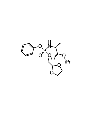 CC(C)OC(=O)[C@H](C)NP(=O)(OCC1OCCO1)Oc1ccccc1